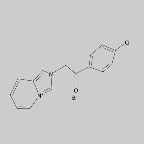 O=C(Cn1cc2cccc[n+]2c1)c1ccc(Cl)cc1.[Br-]